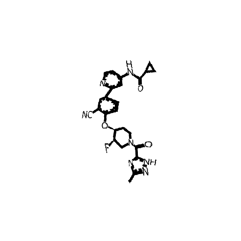 Cc1n[nH]c(C(=O)N2CC[C@H](Oc3ccc(-c4cc(NC(=O)C5CC5)ccn4)cc3C#N)[C@H](F)C2)n1